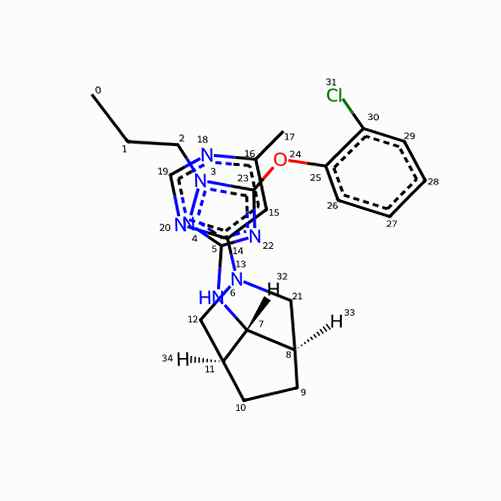 CCCn1nc(N[C@@H]2[C@@H]3CC[C@H]2CN(c2cc(C)ncn2)C3)nc1Oc1ccccc1Cl